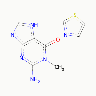 Cn1c(N)nc2nc[nH]c2c1=O.c1cscn1